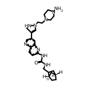 NN1CCN(CCN2C=C(c3cnc4ccc(NC(=O)NCC5C[C@@H]6CC[C@H]5C6)nc4c3)CN2)CC1